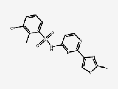 Cc1nc(-c2nccc(NS(=O)(=O)c3cccc(Cl)c3C)n2)cs1